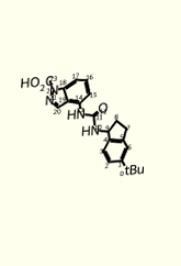 CC(C)(C)c1ccc2c(c1)CCC2NC(=O)Nc1cccc2c1cnn2C(=O)O